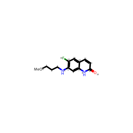 COCCCNc1cc2[nH]c(=O)ccc2cc1F